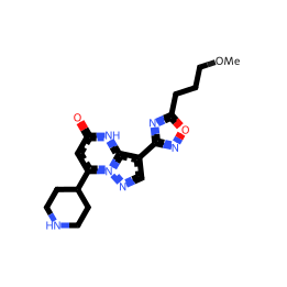 COCCCc1nc(-c2cnn3c(C4CCNCC4)cc(=O)[nH]c23)no1